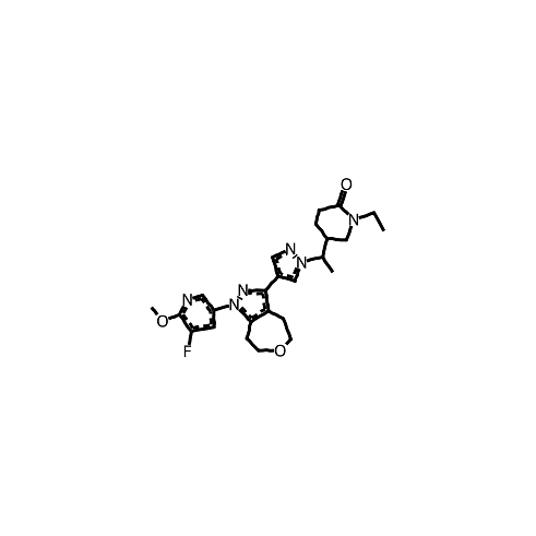 CCN1CC(C(C)n2cc(-c3nn(-c4cnc(OC)c(F)c4)c4c3CCOCC4)cn2)CCC1=O